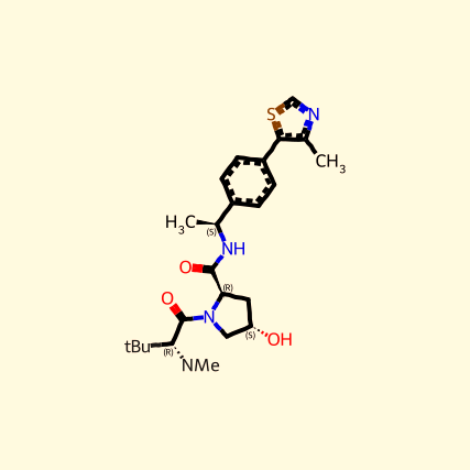 CN[C@@H](C(=O)N1C[C@@H](O)C[C@@H]1C(=O)N[C@@H](C)c1ccc(-c2scnc2C)cc1)C(C)(C)C